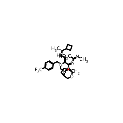 C=NC(=N/C(=N\C)C(=O)O)/C(=C/N[C@H](C)C1CCC1)N(Cc1ccc(C(F)(F)F)cc1)CN1C2CCC1COC2